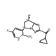 CC1NC=C(F)C=C1[C@H]1C[C@@H](F)c2nc(C(=O)C3CC3)nn21